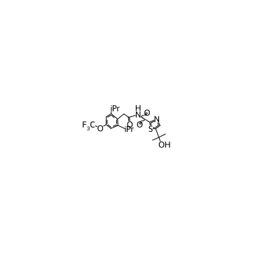 CC(C)c1cc(OC(F)(F)F)cc(C(C)C)c1CC(=O)NS(=O)(=O)c1ncc(C(C)(C)O)s1